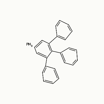 P.c1ccc(-c2cccc(-c3ccccc3)c2-c2ccccc2)cc1